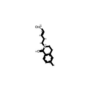 Cc1ccc2c(c1)CCN(CC/C=C/C=O)C2=O